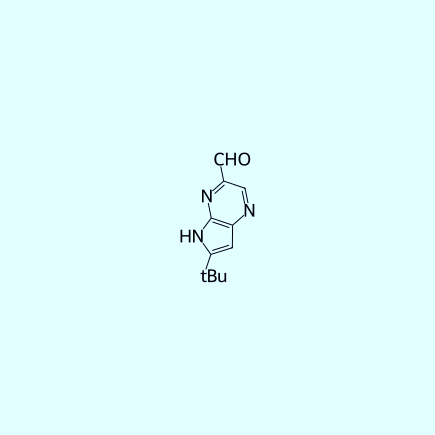 CC(C)(C)c1cc2ncc(C=O)nc2[nH]1